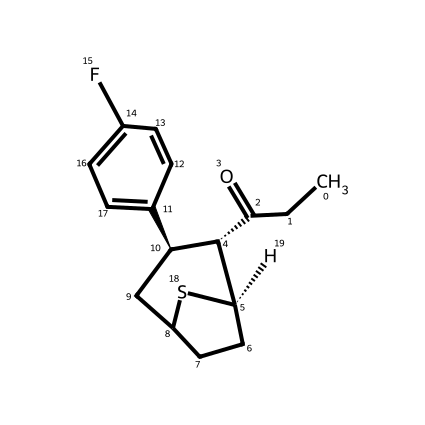 CCC(=O)[C@@H]1[C@H]2CCC(C[C@H]1c1ccc(F)cc1)S2